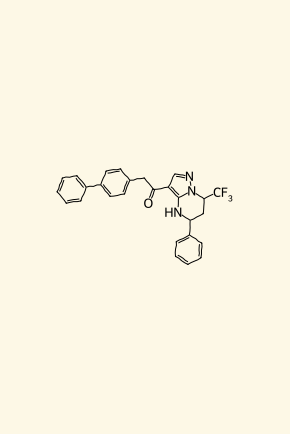 O=C(Cc1ccc(-c2ccccc2)cc1)c1cnn2c1NC(c1ccccc1)CC2C(F)(F)F